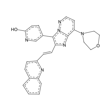 Oc1ccc(-c2c(C=Cc3ccc4ccccc4n3)nc3c(N4CCOCC4)ccnn23)cn1